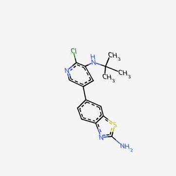 CC(C)(C)Nc1cc(-c2ccc3nc(N)sc3c2)cnc1Cl